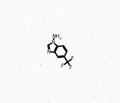 Nn1cnc2cc(C(F)(F)F)ccc21